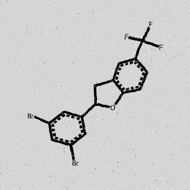 FC(F)(F)c1ccc2c(c1)CC(c1cc(Br)cc(Br)c1)O2